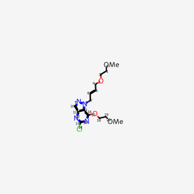 COCCOCC=CCn1ncc2nc(Cl)nc(OCCOC)c21